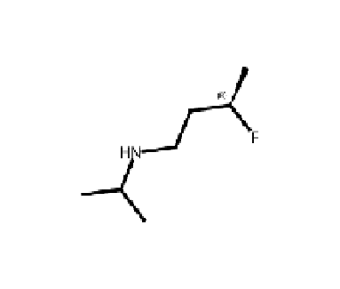 CC(C)NCC[C@@H](C)F